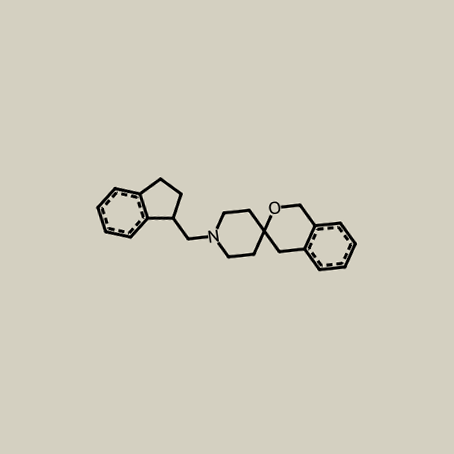 c1ccc2c(c1)COC1(CCN(CC3CCc4ccccc43)CC1)C2